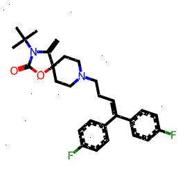 C=C1N(C(C)(C)C)C(=O)OC12CCN(CCC=C(c1ccc(F)cc1)c1ccc(F)cc1)CC2